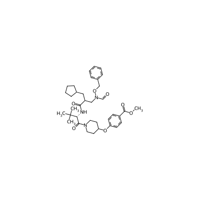 COC(=O)c1ccc(OC2CCN(C(=O)[C@@H](NC(=O)C(CC3CCCC3)CN(C=O)OCc3ccccc3)C(C)(C)C)CC2)cc1